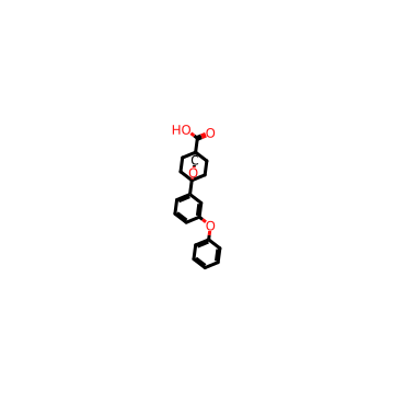 O=C(O)C12CCC(c3cccc(Oc4ccccc4)c3)(CC1)OC2